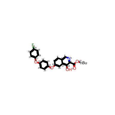 CCCCOC(=O)c1ncc2ccc(Oc3ccc(Oc4ccc(F)cc4)cc3)cc2c1O